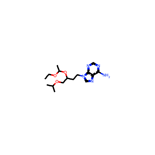 CCOC(C)OC(CCn1cnc2c(N)ncnc21)COC(C)C